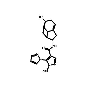 CC(C)(C)n1ncc(C(=O)N[C@H]2CC3=CC[C@]4(O)CC3C2C4)c1-n1cccn1